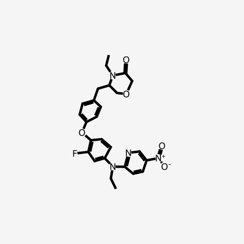 CCN(c1ccc(Oc2ccc(CC3COCC(=O)N3CC)cc2)c(F)c1)c1ccc([N+](=O)[O-])cn1